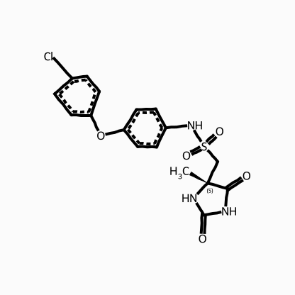 C[C@]1(CS(=O)(=O)Nc2ccc(Oc3ccc(Cl)cc3)cc2)NC(=O)NC1=O